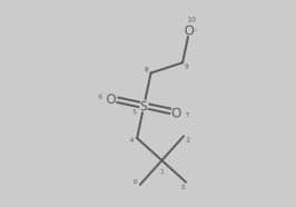 CC(C)(C)CS(=O)(=O)CC[O]